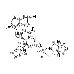 C#Cc1c(F)ccc2cc(O)cc(-c3c(C)cc4c(N5CC6CCC(C5)N6)nc(OCC5(CN6C[C@H]7COC[C@@H]7C6)CC5)nc4c3F)c12